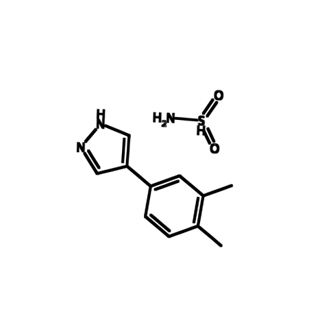 Cc1ccc(-c2cn[nH]c2)cc1C.N[SH](=O)=O